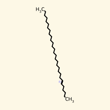 CCCCC/C=C/CCCCCCCCCCCCCCCCCCCCCCC